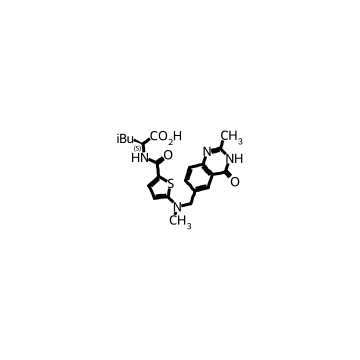 CCC(C)[C@H](NC(=O)c1ccc(N(C)Cc2ccc3nc(C)[nH]c(=O)c3c2)s1)C(=O)O